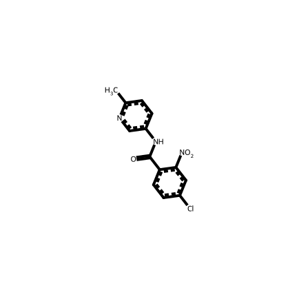 Cc1ccc(NC(=O)c2ccc(Cl)cc2[N+](=O)[O-])cn1